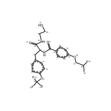 O=C(NC(Cc1ccc(OC(F)(F)F)cc1)C(=O)NCCO)c1ccc(OCC(F)F)cc1